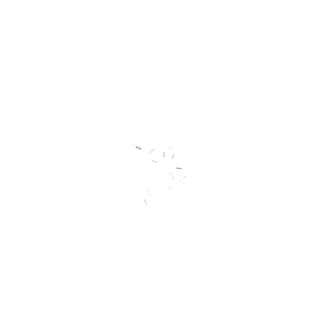 CC(C)(C)OC(=O)N1CCC[C@H](Nc2ncc(Cl)c(-c3cn(COCC[Si](C)(C)C)c4c(F)c(C#N)ccc34)n2)C1